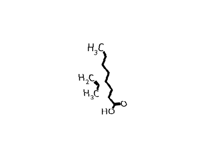 C=CC.CCCCCCCC(=O)O